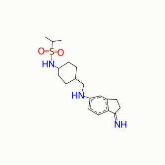 CC(C)S(=O)(=O)NC1CCC(CNc2ccc3c(c2)CCC3=N)CC1